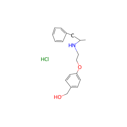 CC(Cc1ccccc1)NCCOc1ccc(CO)cc1.Cl